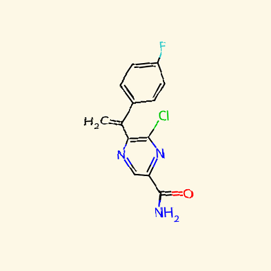 C=C(c1ccc(F)cc1)c1ncc(C(N)=O)nc1Cl